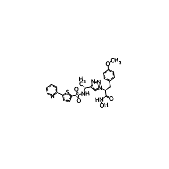 COc1ccc(C[C@@H](C(=O)NO)n2cc([C@@H](C)NS(=O)(=O)c3ccc(-c4ccccn4)s3)nn2)cc1